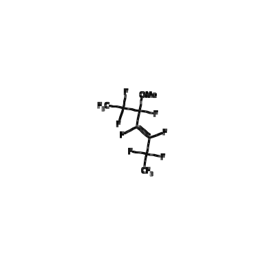 COC(F)(C(F)=C(F)C(F)(F)C(F)(F)F)C(F)(F)C(F)(F)F